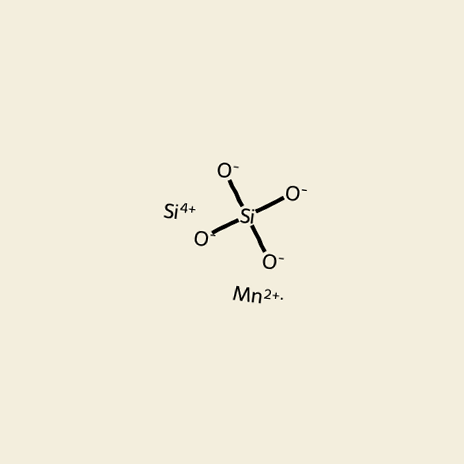 [Mn+2].[O-][Si]([O-])([O-])[O-].[Si+4]